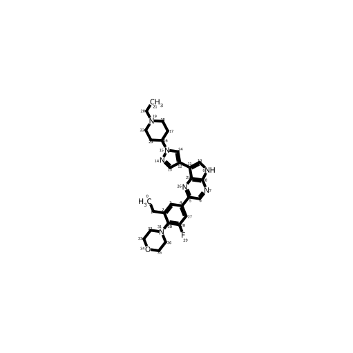 CCc1cc(-c2cnc3[nH]cc(-c4cnn(C5CCN(CC)CC5)c4)c3n2)cc(F)c1N1CCOCC1